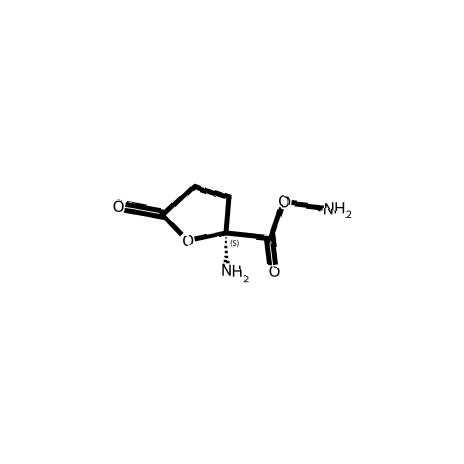 NOC(=O)[C@]1(N)CCC(=O)O1